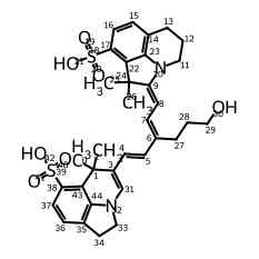 CC1(C)C(C=CC(=CC=C2N3CCCc4ccc(S(=O)(=O)O)c(c43)C2(C)C)CCCO)=CN2CCc3ccc(S(=O)(=O)O)c1c32